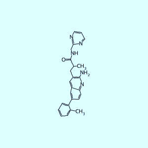 Cc1ccccc1-c1ccc2nc(N)c(CC(C)C(=O)NCc3ncccn3)cc2c1